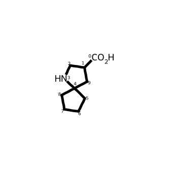 O=C(O)C1CNC2(CCCC2)C1